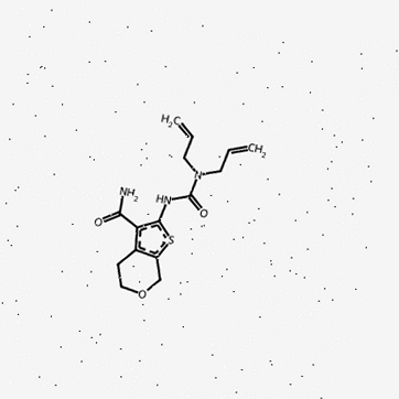 C=CCN(CC=C)C(=O)Nc1sc2c(c1C(N)=O)CCOC2